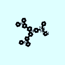 c1ccc(-c2nc(-c3ccc(-n4c5ccc(-c6ccc7c(c6)c6ccccc6n7-c6ccccc6)cc5c5cc(-c6ccc7c(c6)c6ccccc6n7-c6ccccc6)ccc54)cc3)nc(-c3cccnc3)n2)cc1